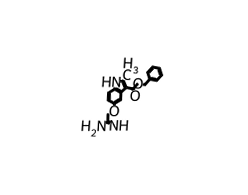 Cc1[nH]c2ccc(OCC(=N)N)cc2c1C(=O)OCc1ccccc1